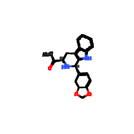 COC(=O)[C@H]1Cc2c([nH]c3ccccc23)[C@@H](C2=CC=C3OCOC3C2)N1